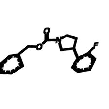 O=C(OCc1ccccc1)N1CCC(c2ccccc2F)C1